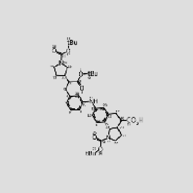 CC(C)(C)OC(=O)C(Cc1cccc(Nc2cccc(CC(C(=O)O)[C@H]3CCN(C(=O)OC(C)(C)C)C3)c2)c1)[C@H]1CCN(C(=O)OC(C)(C)C)C1